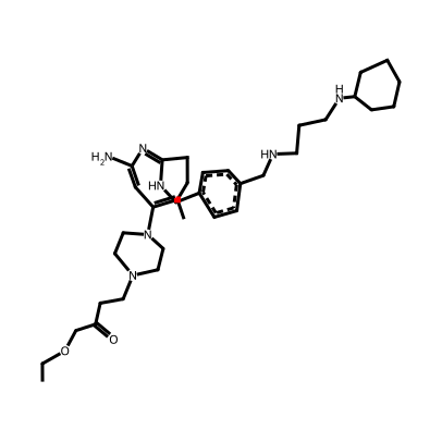 CCOCC(=O)CCN1CCN(C2=C(\C)CC/C(NCc3ccc(CNCCCNC4CCCCC4)cc3)=N/C(N)=C\2)CC1